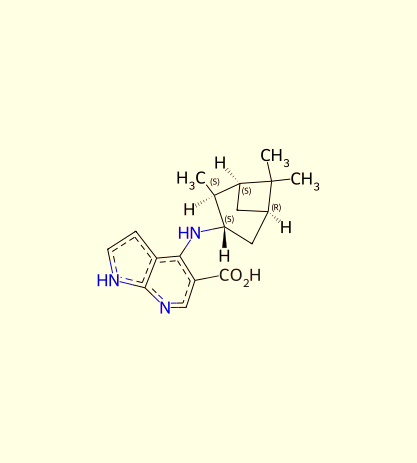 C[C@@H]1[C@@H](Nc2c(C(=O)O)cnc3[nH]ccc23)C[C@H]2C[C@@H]1C2(C)C